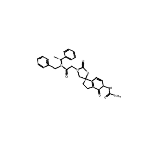 CNC(=O)NC1C=CC2=C(CC[C@]23CN(CC(=O)N(Cc2ccccc2)[C@@H](C)c2ccccc2)C(=O)O3)C1=O